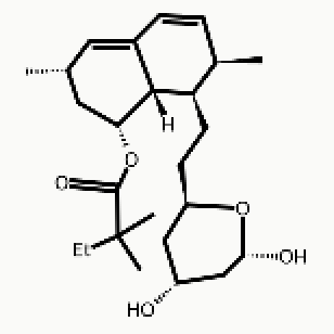 CCC(C)(C)C(=O)O[C@@H]1C[C@H](C)C=C2C=C[C@@H](C)[C@@H](CC[C@@H]3C[C@@H](O)C[C@@H](O)O3)[C@@H]21